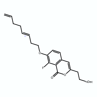 C=CCC/C=C/CCOc1ccc2cc(CCCCCCCCCCCC)oc(=O)c2c1F